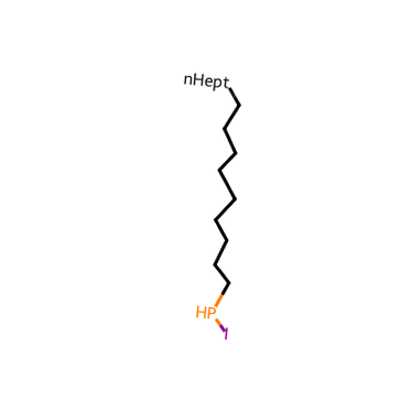 CCCCCCCCCCCCCCCCPI